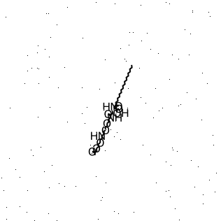 CCCCCCCCCCCCCCCCCCCC(=O)N[C@@H](CCC(=O)NCCOCCOCCNCCOCCOCC(C)=O)C(=O)O